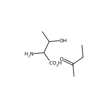 CC(O)C(N)C(=O)O.CCC(C)=O